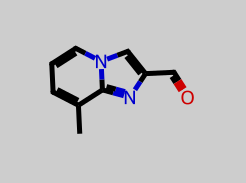 Cc1cccn2cc(C=O)nc12